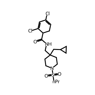 CCCS(=O)(=O)N1CCC(CNC(=O)C2CC=C(Cl)C=C2Cl)(CC2CC2)CC1